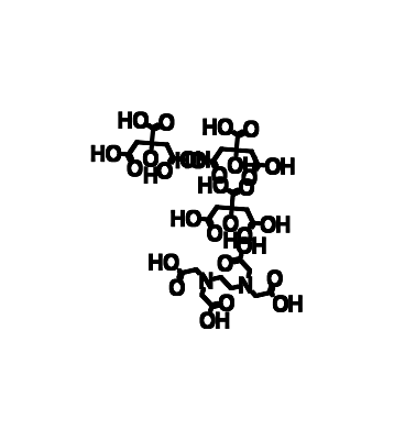 O=C(O)CC(O)(CC(=O)O)C(=O)O.O=C(O)CC(O)(CC(=O)O)C(=O)O.O=C(O)CC(O)(CC(=O)O)C(=O)O.O=C(O)CN(CCN(CC(=O)O)CC(=O)O)CC(=O)O